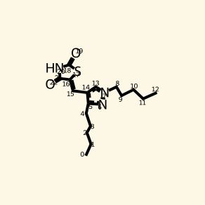 CCCCCc1nn(CCCCC)cc1/C=C1\SC(=O)NC1=O